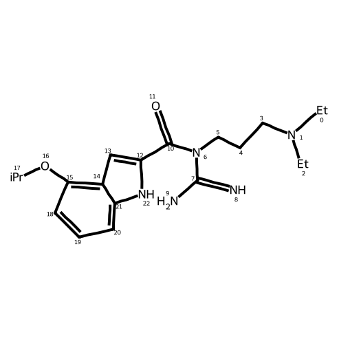 CCN(CC)CCCN(C(=N)N)C(=O)c1cc2c(OC(C)C)cccc2[nH]1